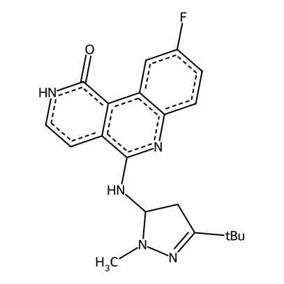 CN1N=C(C(C)(C)C)CC1Nc1nc2ccc(F)cc2c2c(=O)[nH]ccc12